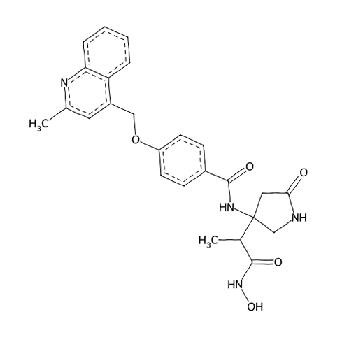 Cc1cc(COc2ccc(C(=O)NC3(C(C)C(=O)NO)CNC(=O)C3)cc2)c2ccccc2n1